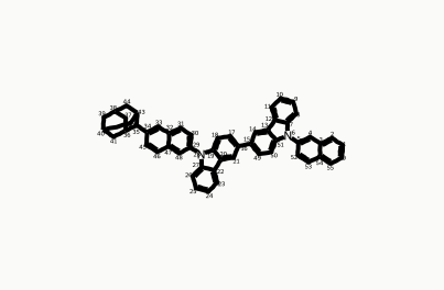 c1ccc2cc(-n3c4ccccc4c4cc(-c5ccc6c(c5)c5ccccc5n6-c5ccc6cc(C7C8CC9CC(C8)CC7C9)ccc6c5)ccc43)ccc2c1